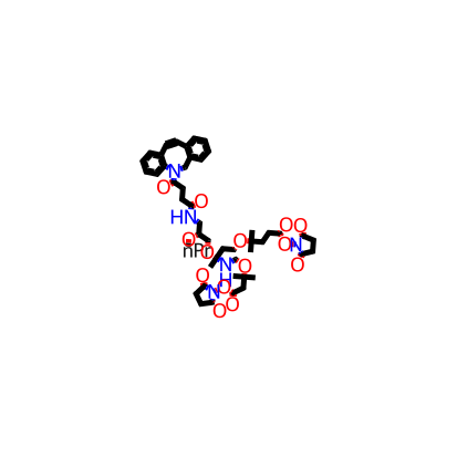 CCCOC(CNC(=O)CCC(=O)N1Cc2ccccc2C#Cc2ccccc21)COC(C)(CCOC(C)(C)CCC(=O)ON1C(=O)CCC1=O)NCOC(C)(C)CC(=O)ON1C(=O)CCC1=O